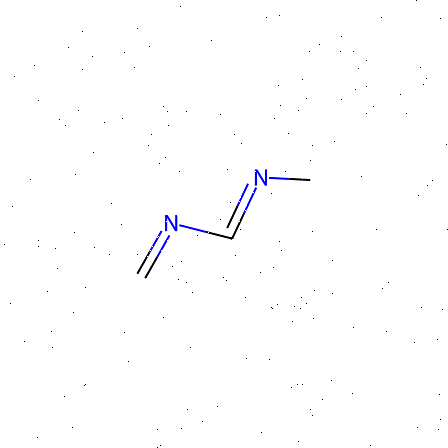 C=NC=NC